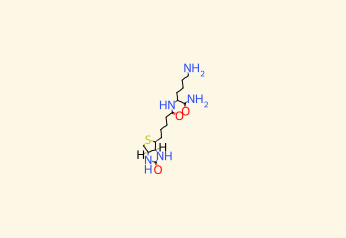 NCCCCC(NC(=O)CCCC[C@@H]1SC[C@@H]2NC(=O)N[C@@H]21)C(N)=O